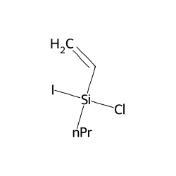 C=C[Si](Cl)(I)CCC